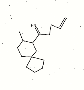 C=CCCC(=N)C1CC2(CCCC2)CCC1C